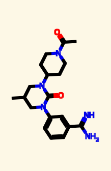 CC(=O)N1CCC(N2CC(C)CN(c3cccc(C(=N)N)c3)C2=O)CC1